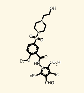 CCCc1c(C=O)c(CC)c(C(=O)O)n1NC(=O)c1cc(S(=O)(=O)N2CCN(CCO)CC2)ccc1OCC